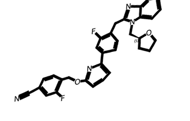 N#Cc1ccc(COc2cccc(-c3ccc(Cc4nc5ccccc5n4C[C@@H]4CCCO4)c(F)c3)n2)c(F)c1